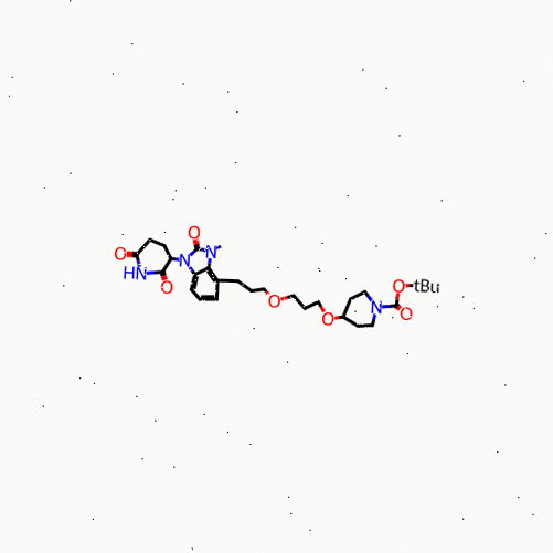 Cn1c(=O)n(C2CCC(=O)NC2=O)c2cccc(CCCOCCCOC3CCN(C(=O)OC(C)(C)C)CC3)c21